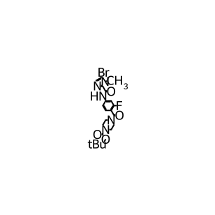 Cn1c(Br)cnc1C(=O)Nc1ccc(C(=O)N2CCN(C(=O)OC(C)(C)C)CC2)c(F)c1